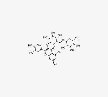 CC1OC(OC[C@H]2O[C@@H](Oc3c(-c4ccc(O)c(O)c4)oc4cc(O)cc(O)c4c3=O)C(O)C(O)[C@@H]2O)[C@@H](O)[C@@H](O)C1O